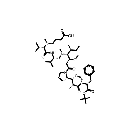 CC[C@H](C)[C@@H]([C@H](CC(=O)N1CCC[C@H]1[C@H](OC)[C@@H](C)C(=O)N[C@@H](Cc1ccccc1)C(=O)OC(C)(C)C)OC)N(C)C[C@@H](NC(=O)[C@H](C(C)C)N(C)CCCC(=O)O)C(C)C